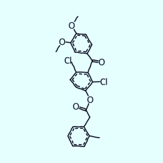 COc1ccc(C(=O)c2c(Cl)ccc(OC(=O)Cc3ccccc3C)c2Cl)cc1OC